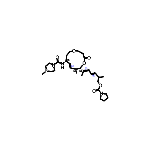 C/C(=C\C=C\C(C)COC(=O)N1CCCC1)[C@H]1OC(=O)CCCCC[C@@H](NC(=O)N2CCN(C)CC2)/C=C/[C@@H]1C